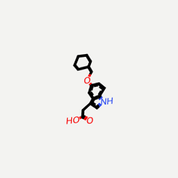 O=C(O)Cc1c[nH]c2ccc(OCC3CCCCC3)cc12